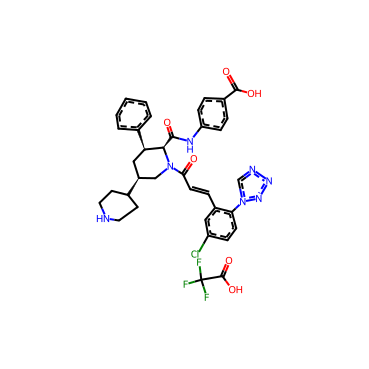 O=C(O)C(F)(F)F.O=C(O)c1ccc(NC(=O)[C@@H]2[C@H](c3ccccc3)C[C@H](C3CCNCC3)CN2C(=O)/C=C/c2cc(Cl)ccc2-n2cnnn2)cc1